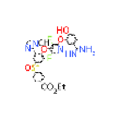 CCOC(=O)c1ccc([S+]([O-])c2ccc(Oc3c(F)cnc(Oc4cc(C(=N)N)ccc4O)c3F)c(C3N=CCN3C)c2)cc1